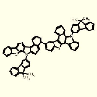 CC1(C)c2ccccc2-c2cc(-n3c4ccc5c(-c6ccc7sc8c(c7c6)c6ccccc6c6c8c7ccccc7n6-c6ccc7c(c6)-c6ccccc6C7(C)C)cccc5c4c4ccc5c6ccccc6sc5c43)ccc21